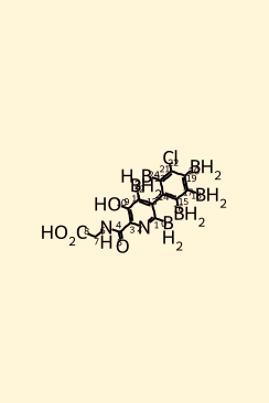 Bc1nc(C(=O)NCC(=O)O)c(O)c(B)c1-c1c(B)c(B)c(B)c(Cl)c1B